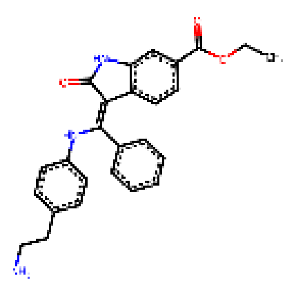 CCOC(=O)c1ccc2c(c1)NC(=O)/C2=C(\Nc1ccc(CCN)cc1)c1ccccc1